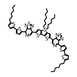 CCCCCCCS1(CCCCCC)c2cc(-c3cnc(-c4ccc(-c5ccc(CCCCCC)s5)s4)c4nsnc34)sc2-c2sc(-c3cnc(-c4ccc(-c5ccc(CCCCCC)s5)s4)c4nsnc34)cc21